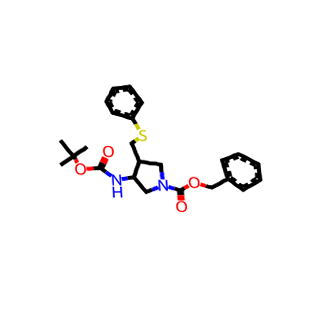 CC(C)(C)OC(=O)NC1CN(C(=O)OCc2ccccc2)CC1CSc1ccccc1